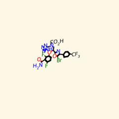 NC(=O)c1c(F)ccc(OC(CN(C(=O)O)c2nnn[nH]2)c2nc(-c3ccc(C(F)(F)F)cc3)c(Br)o2)c1F